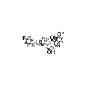 COc1ccc2nccc([C@@H](O)CCC3CCN(CCCc4ccc(F)cc4)CC3CCC(=O)O)c2c1